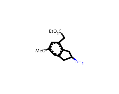 CCOC(=O)Cc1cc(OC)cc2c1CC(N)C2